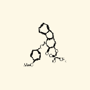 COc1ccc(Cn2c3c(cc(OS(=O)(=O)C(F)(F)F)c2=O)Cc2ccccc2-3)cc1